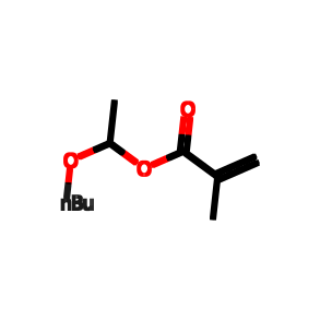 C=C(C)C(=O)OC(C)OCCCC